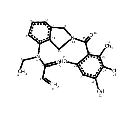 C=CC(=O)N(CC)c1cccc2c1CN(C(=O)c1c(O)cc(O)c(Cl)c1C)C2